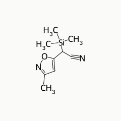 Cc1cc(C(C#N)[Si](C)(C)C)on1